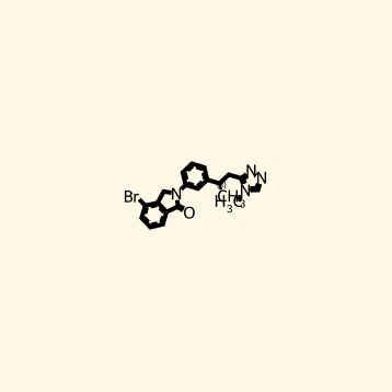 C[C@H](Cc1nncn1C)c1cccc(N2Cc3c(Br)cccc3C2=O)c1